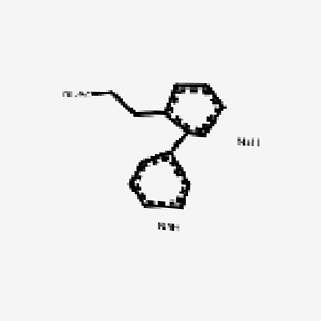 CCCCCCCCCCCCc1ccccc1-c1ccccc1.[NaH].[NaH]